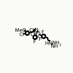 COc1cc(C(C)(C)c2cnc(SCc3c(F)cc(CCCNC(=N)N)cc3F)n2-c2ccc(F)cc2)ccc1Cl